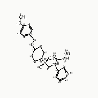 COc1ccc(COC2CCN(S(=O)(=O)C[C@@H](C(=O)NO)c3cccnc3)CC2)cc1